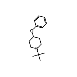 CC(C)(C)N1CCC(Oc2ccccc2)CC1